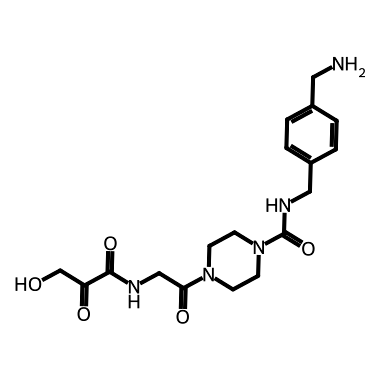 NCc1ccc(CNC(=O)N2CCN(C(=O)CNC(=O)C(=O)CO)CC2)cc1